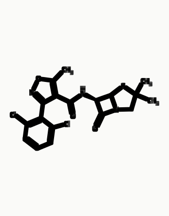 Cc1onc(-c2c(Cl)cccc2Cl)c1C(=O)N[C@@H]1C(=O)N2CC(C)(C)SC12